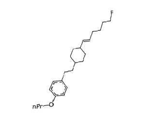 CCCOc1ccc(CCC2CCC(C=CCCCCF)CC2)cc1